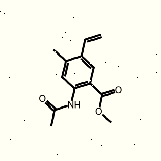 C=Cc1cc(C(=O)OC)c(NC(C)=O)cc1C